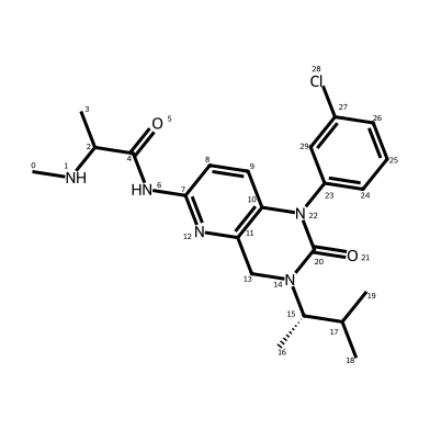 CNC(C)C(=O)Nc1ccc2c(n1)CN([C@@H](C)C(C)C)C(=O)N2c1cccc(Cl)c1